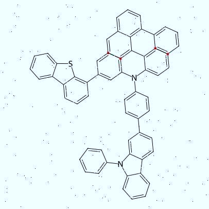 c1ccc(-c2cccc3cccc(-c4ccccc4N(c4ccc(-c5ccc6c7ccccc7n(-c7ccccc7)c6c5)cc4)c4cccc(-c5cccc6c5sc5ccccc56)c4)c23)cc1